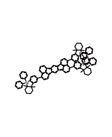 CC12CCCCC1(C)[Si](c1ccccc1)(c1ccccc1)c1ccc(-c3ccc4c5cc6c(cc5c5cccc3c54)c3ccc(-c4ccc5c(c4)C4(C)CCCCC4(C)[Si]5(c4ccccc4)c4ccccc4)c4c(-c5ccc7c(c5)C5(C)CCCCC5(C)[Si]7(c5ccccc5)c5ccccc5)ccc6c43)cc12